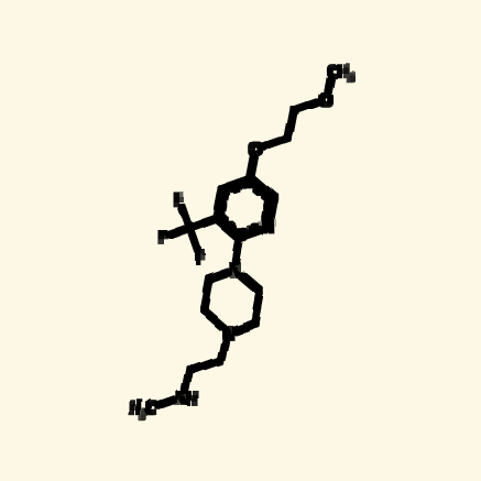 CNCCN1CCN(c2ncc(OCCOC)cc2C(F)(F)F)CC1